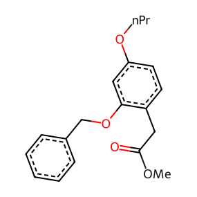 CCCOc1ccc(CC(=O)OC)c(OCc2ccccc2)c1